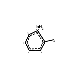 Cc1cc[c]cc1.[InH3]